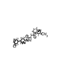 Cc1cc2n(n1)CCCN2C(=O)CCC(=O)Nc1ccc(-c2cncc(Cl)c2)nn1